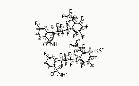 [K+].[K+].[NH-]S(=O)(=O)c1ccc(F)cc1C(F)(F)C(F)(F)C(F)(F)C(F)(F)c1c(F)c(F)c(F)c(F)c1S(=O)(=O)N(F)F.[NH-]S(=O)(=O)c1ccc(F)cc1C(F)(F)C(F)(F)C(F)(F)C(F)(F)c1c(F)c(F)c(F)c(F)c1S(=O)(=O)N(F)F